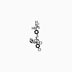 NC(=S)Nc1ccc(SCC2COC(Cn3ccnc3)(c3ccc(Cl)cc3Cl)O2)cc1